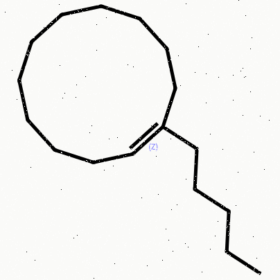 CCCCC/C1=C/CCCCCCCCCC1